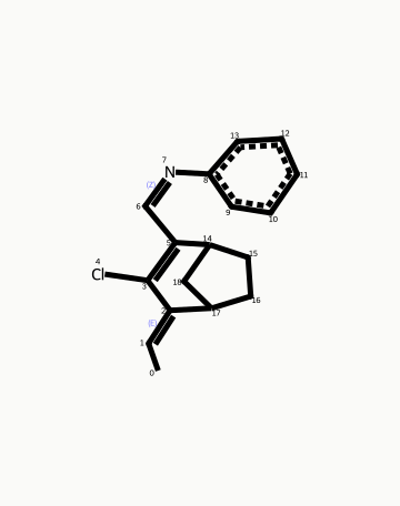 C/C=C1C(Cl)=C(/C=N\c2ccccc2)C2CCC/1C2